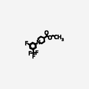 CCOC(=O)C1CCN(c2cc(F)cc(C(F)(F)F)c2)CC1